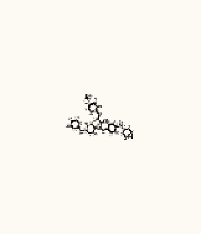 CN(c1ccncc1)c1ccc(CN(C(=O)/C=C/c2ccc(OC(F)(F)F)cc2)C2CCN(Cc3ccccc3)CC2)cc1